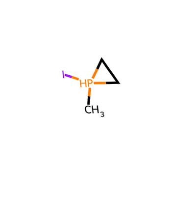 C[PH]1(I)CC1